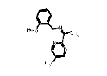 COc1ccccc1CN=C(C)c1ncc(C)cn1